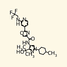 CC1CCC(n2cc(NC(=O)c3coc(-c4ccnc(NCC(F)(F)F)c4)n3)c(C(C)(C)O)n2)CC1